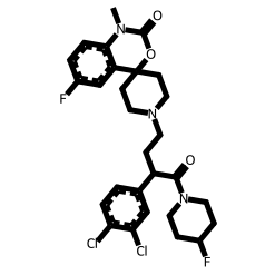 CN1C(=O)OC2(CCN(CCC(C(=O)N3CCC(F)CC3)c3ccc(Cl)c(Cl)c3)CC2)c2cc(F)ccc21